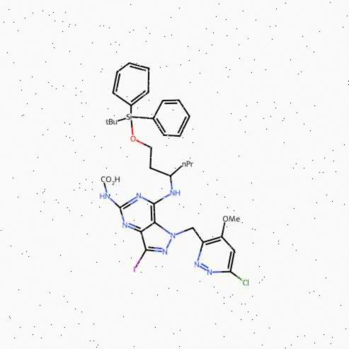 CCCC(CCO[Si](c1ccccc1)(c1ccccc1)C(C)(C)C)Nc1nc(NC(=O)O)nc2c(I)nn(Cc3nnc(Cl)cc3OC)c12